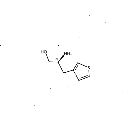 N[C@H](CO)Cc1ccsc1